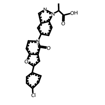 CC(C(=O)O)n1ncc2cc(-n3ccc4oc(-c5ccc(Cl)cc5)cc4c3=O)ccc21